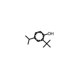 CC(C)c1ccc(O)c(C(C)(C)C)c1